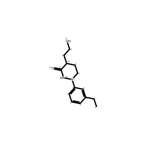 CCc1cccc(N2CCC(CCO)C(=O)N2)c1